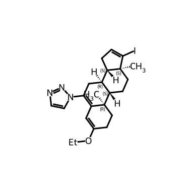 CCOC1=CC2=C(n3ccnn3)C[C@@H]3[C@H](CC[C@]4(C)C(I)=CC[C@@H]34)[C@@]2(C)CC1